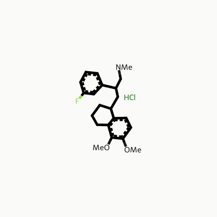 CNCC(CC1CCCc2c1ccc(OC)c2OC)c1cccc(F)c1.Cl